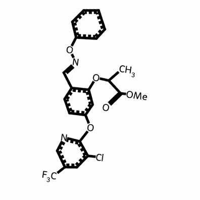 COC(=O)C(C)Oc1cc(Oc2ncc(C(F)(F)F)cc2Cl)ccc1/C=N/Oc1ccccc1